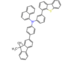 CC1(C)c2ccccc2-c2ccc(-c3ccc(N(c4cccc(-c5cccc6c5sc5ccccc56)c4)c4cccc5ccccc45)cc3)cc21